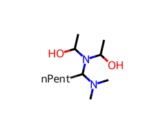 CCCCCC(N(C)C)N(C(C)O)C(C)O